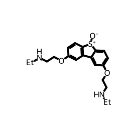 CCNCCOc1ccc2c(c1)c1cc(OCCNCC)ccc1[s+]2[O-]